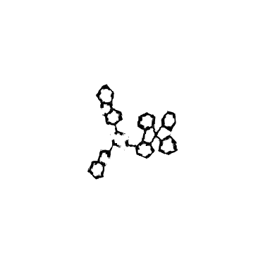 c1ccc(C2(c3ccccc3)c3ccccc3-c3c(-c4nc(-c5ccc6c(c5)sc5ccccc56)nc(-c5cc6ccccc6o5)n4)cccc32)cc1